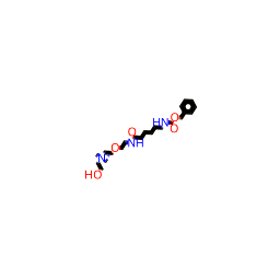 C[N+](C)(CCO)CCOCCNC(=O)CCCCCNC(=O)OCc1ccccc1